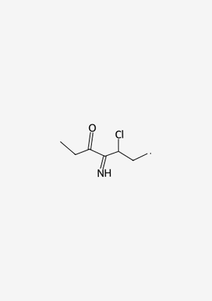 [CH2]CC(Cl)C(=N)C(=O)CC